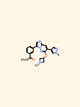 CNC(=O)c1cccc(-c2cnc3cc(-c4cnn(C)c4)c(OC4CN(C(C)=O)C4)nn23)c1